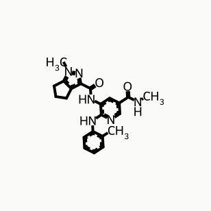 CNC(=O)c1cnc(Nc2ccccc2C)c(NC(=O)c2nn(C)c3c2CCC3)c1